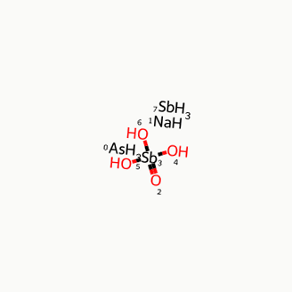 [AsH3].[NaH].[O]=[Sb]([OH])([OH])[OH].[SbH3]